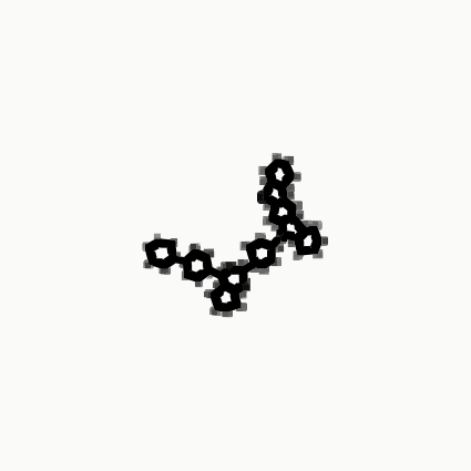 c1ccc(-c2ccc(-c3nc(-c4ccc(-n5c6ccccc6c6cc7c(cc65)oc5ccccc57)cc4)nc4ccccc34)cc2)cc1